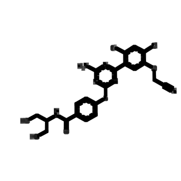 N#CCOc1cc(-c2nc(N)nc(Sc3ccc(C(=O)NC(CO)CO)cc3)n2)c(Cl)cc1Cl